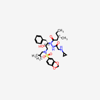 CC[C@H](C)CC(=O)N(NC(=O)CNC1CC1)[C@@H](Cc1ccccc1)[C@H](O)CN(CC(C)C)S(=O)(=O)c1ccc2c(c1)OCO2